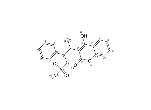 CCC([C](CS(N)(=O)=O)c1ccccc1)c1c(O)c2ccccc2oc1=O